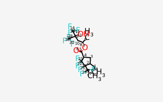 CCC1CC(C(=O)OC(C)CC(O)(C(F)(F)F)C(F)(F)F)C(F)(F)C1(F)C(C)(F)F